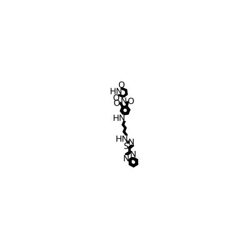 O=C1CCC(N2C(=O)c3ccc(NCCCCCNc4ncc(-c5cnc6ccccc6n5)s4)cc3C2=O)C(=O)N1